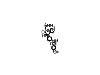 CC(=O)C(N)CNC(=O)c1[nH]c2ccc(NS(=O)(=O)c3ccc(C(C)(C)C)cc3)cc2c1-c1ccncc1